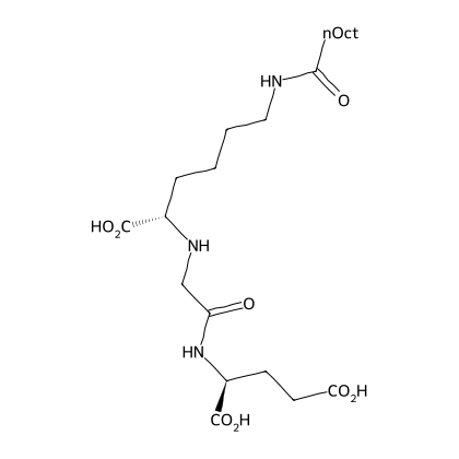 CCCCCCCCC(=O)NCCCC[C@H](NCC(=O)N[C@@H](CCC(=O)O)C(=O)O)C(=O)O